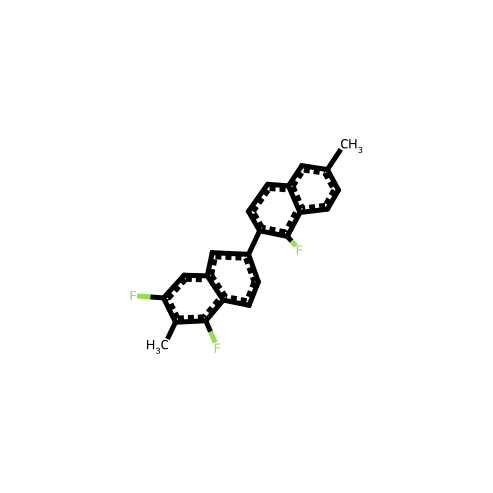 Cc1ccc2c(F)c(-c3ccc4c(F)c(C)c(F)cc4c3)ccc2c1